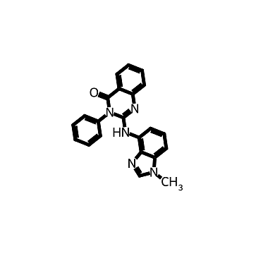 Cn1cnc2c(Nc3nc4ccccc4c(=O)n3-c3ccccc3)cccc21